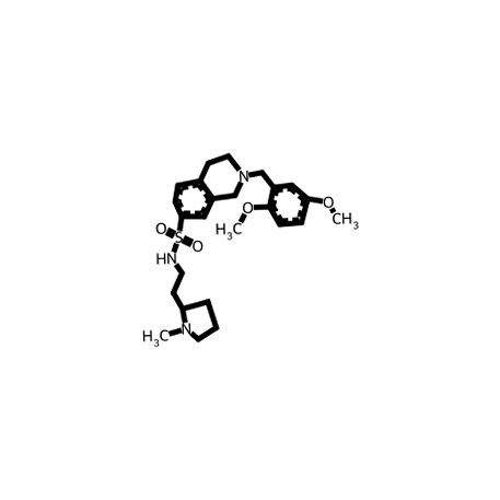 COc1ccc(OC)c(CN2CCc3ccc(S(=O)(=O)NCCC4CCCN4C)cc3C2)c1